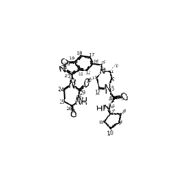 C[C@@H]1CN(C(=O)NC2CCCC2)CCN1Cc1ccc2onc(N3CCC(=O)NC3=O)c2c1